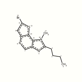 CCCCc1nc2cnc3cc(Br)sc3c2n1C